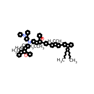 CCCCCCCC1(CCCCCCC)c2ccccc2-c2ccc(-c3ccc4c(c3)C(C)(C)c3cc(-c5ccc(-c6cc7c(c8c6oc6ccccc68)-c6ccc(N(c8ccc9c(c8)C(C)(C)c8c%10c(c%11oc%12ccccc%12c%11c8-9)-c8ccccc8C%10(C)C)c8ccc9c(c8)c8ccccc8n9-c8ccccc8)cc6C7(C)C)cc5)ccc3-4)cc21